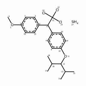 COc1ccc(C(c2ccc(OC(C(C)C)C(C)C)cc2)C(Cl)(Cl)Cl)cc1.[SiH4]